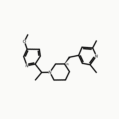 COc1ccc(C(C)N2CCC[C@H](Cc3cc(C)nc(C)c3)C2)nc1